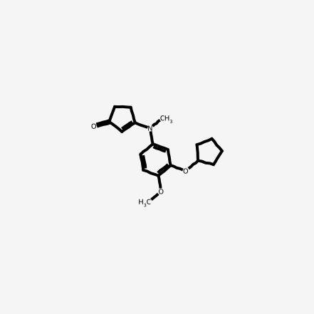 COc1ccc(N(C)C2=CC(=O)CC2)cc1OC1CCCC1